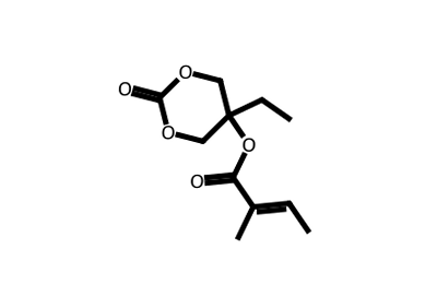 CC=C(C)C(=O)OC1(CC)COC(=O)OC1